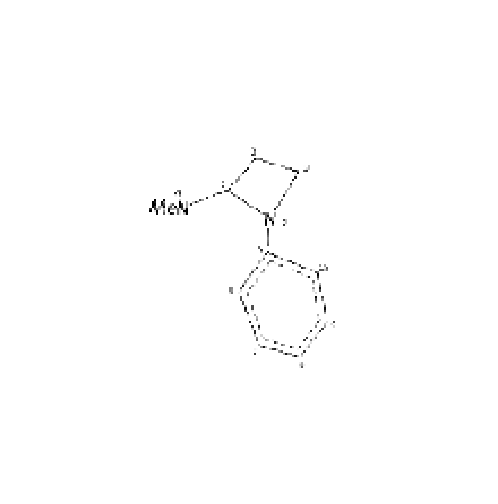 CNC1CCN1c1ccccc1